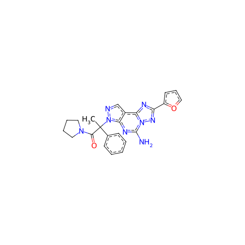 CC(C(=O)N1CCCC1)(c1ccccc1)n1ncc2c1nc(N)n1nc(-c3ccco3)nc21